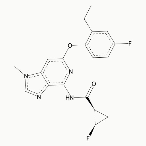 CCc1cc(F)ccc1Oc1cc2c(ncn2C)c(NC(=O)[C@H]2C[C@H]2F)n1